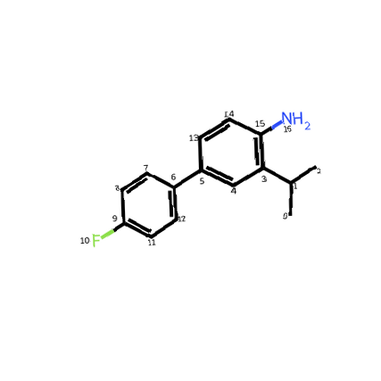 CC(C)c1cc(-c2ccc(F)cc2)ccc1N